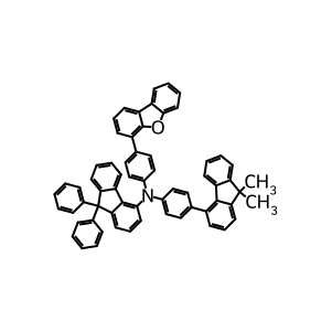 CC1(C)c2ccccc2-c2c(-c3ccc(N(c4ccc(-c5cccc6c5oc5ccccc56)cc4)c4cccc5c4-c4ccccc4C5(c4ccccc4)c4ccccc4)cc3)cccc21